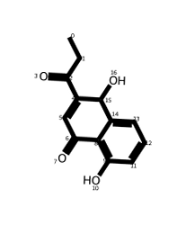 CCC(=O)C1=CC(=O)c2c(O)cccc2C1O